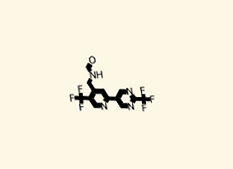 O=CNCc1cc(-c2cnc(C(F)(F)F)nc2)ncc1C(F)(F)F